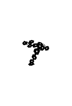 c1ccc(-c2ccc(N(c3ccc(-c4ccc(-c5ccc6ccccc6c5)cc4)cc3)c3cccc(-c4cccc5c4c4ccccc4n5-c4ccccc4)c3)c3c2oc2ccccc23)cc1